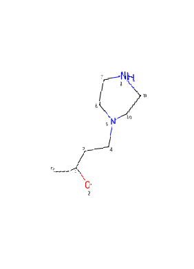 CC([O])CCN1CCNCC1